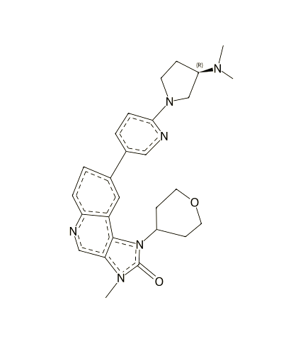 CN(C)[C@@H]1CCN(c2ccc(-c3ccc4ncc5c(c4c3)n(C3CCOCC3)c(=O)n5C)cn2)C1